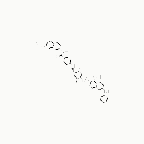 CCCOc1ccc2ccc(NC(=O)c3ccc(N=Nc4cc(C)c(N=Nc5ccc6cc(Nc7ccccc7)ccc6c5O)cc4C)cc3)cc2c1